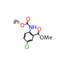 COC(=O)c1cc(Cl)ccc1NC(=O)OC(C)C